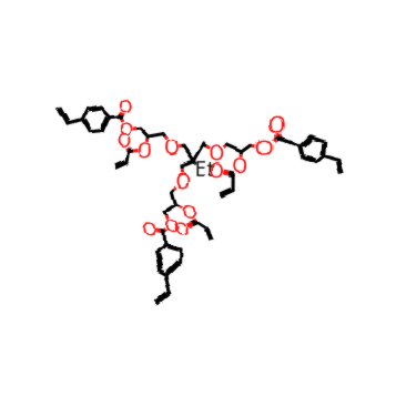 C=CC(=O)OC(COCC(CC)(COCC(COC(=O)c1ccc(C=C)cc1)OC(=O)C=C)COCC(COC(=O)c1ccc(C=C)cc1)OC(=O)C=C)COC(=O)c1ccc(C=C)cc1